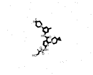 Cc1cc(NC(=O)c2ccc(NS(=O)(=O)[C@H](C)CO)nc2N2CCC3(CC2)CC3)cc(N2CCC(F)(F)CC2)c1